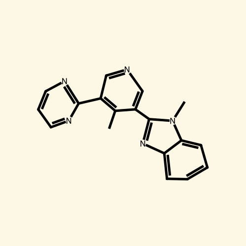 Cc1c(-c2ncccn2)cncc1-c1nc2ccccc2n1C